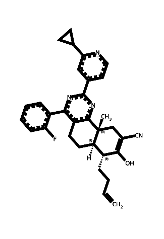 C=CCC[C@H]1C(O)=C(C#N)C[C@@]2(C)c3nc(-c4ccnc(C5CC5)c4)nc(-c4ccccc4F)c3CC[C@H]12